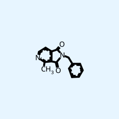 Cc1nccc2c1C(=O)N(Cc1ccccc1)C2=O